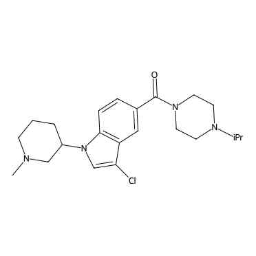 CC(C)N1CCN(C(=O)c2ccc3c(c2)c(Cl)cn3C2CCCN(C)C2)CC1